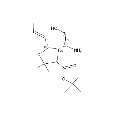 C/C=C/[C@H]1OC(C)(C)N(C(=O)OC(C)(C)C)[C@H]1/C(N)=N\O